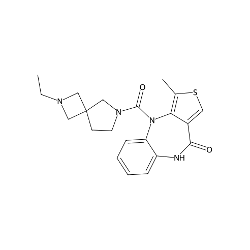 CCN1CC2(CCN(C(=O)N3c4ccccc4NC(=O)c4csc(C)c43)C2)C1